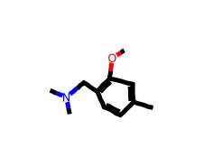 COc1cc(C)ccc1CN(C)C